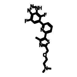 Cc1nc(COCCN(C)C)sc1-c1cccc(-c2cc(F)c3nn[nH]c3c2F)n1